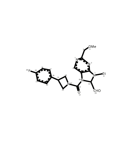 CCN1c2nc(COC)ncc2N(C(=O)N2CC(c3ccc(F)cc3)C2)C1C=O